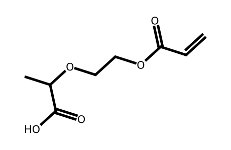 C=CC(=O)OCCOC(C)C(=O)O